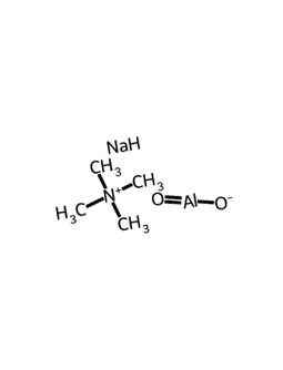 C[N+](C)(C)C.[NaH].[O]=[Al][O-]